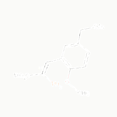 CCOC(=O)/C(P)=C/c1cc(COC(C)=O)ccc1OC=O